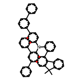 CC1(C)c2ccccc2-c2c(-c3ccccc3N(c3ccc(-c4cccc(-c5ccccc5)c4)cc3)c3ccc(-c4ccccc4)cc3-c3ccccc3)cccc21